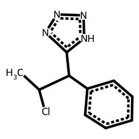 CC(Cl)C(c1ccccc1)c1nnn[nH]1